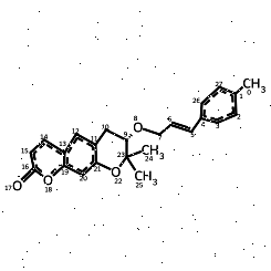 Cc1ccc(/C=C/CO[C@H]2Cc3cc4ccc(=O)oc4cc3OC2(C)C)cc1